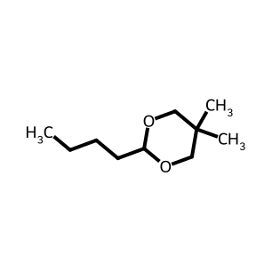 CCCCC1OCC(C)(C)CO1